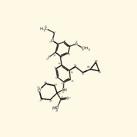 CCOc1cc(OC)cc(-c2ccc(NC3(C(=O)O)CCOCC3)cc2CCC2CC2)c1F